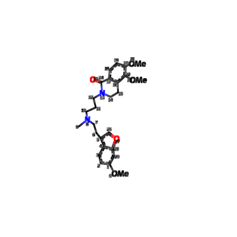 COc1ccc2c(CCN(C)CCCN3CCc4c(ccc(OC)c4OC)C3=O)coc2c1